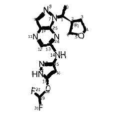 CC([C@H]1CCOC1)n1ncc2ncc(Nc3cc(OC(F)F)[nH]n3)nc21